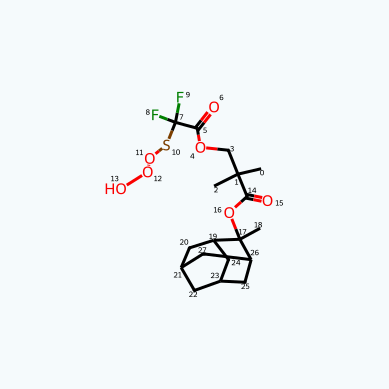 CC(C)(COC(=O)C(F)(F)SOOO)C(=O)OC1(C)C2CC3CC(C2)CC1C3